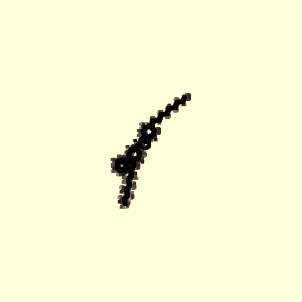 CCCCCCCCCC1CCC(OCC2CCC(CCCCCCCCC)(c3ccccc3)CC2)CC1